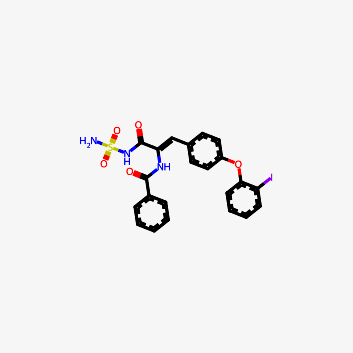 NS(=O)(=O)NC(=O)/C(=C/c1ccc(Oc2ccccc2I)cc1)NC(=O)c1ccccc1